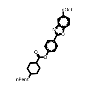 CCCCCCCCc1ccc2oc(-c3ccc(OC(=O)C4CCC(CCCCC)CC4)cc3)nc2c1